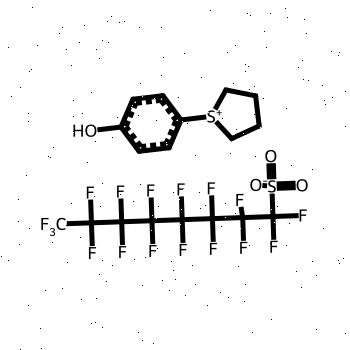 O=S(=O)([O-])C(F)(F)C(F)(F)C(F)(F)C(F)(F)C(F)(F)C(F)(F)C(F)(F)C(F)(F)F.Oc1ccc([S+]2CCCC2)cc1